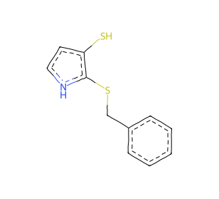 Sc1cc[nH]c1SCc1ccccc1